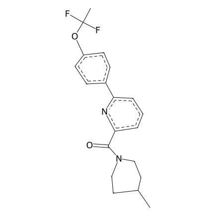 CC1CCN(C(=O)c2cccc(-c3ccc(OC(C)(F)F)cc3)n2)CC1